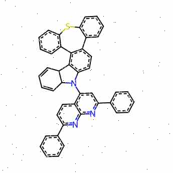 C1=CC2c3c(ccc4c3-c3ccccc3Sc3ccccc3-4)N(c3cc(-c4ccccc4)nc4nc(-c5ccccc5)ccc34)C2C=C1